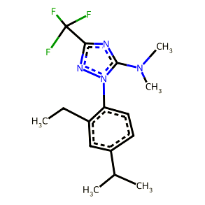 CCc1cc(C(C)C)ccc1-n1nc(C(F)(F)F)nc1N(C)C